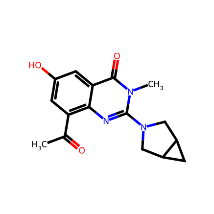 CC(=O)c1cc(O)cc2c(=O)n(C)c(N3CC4CC4C3)nc12